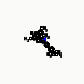 Cc1cc(C)c(B(c2ccc(-c3ccc(-c4ccc(C(C)(C)C)cc4)cc3)nc2)c2c(C)cc(C)cc2C)c(C)c1